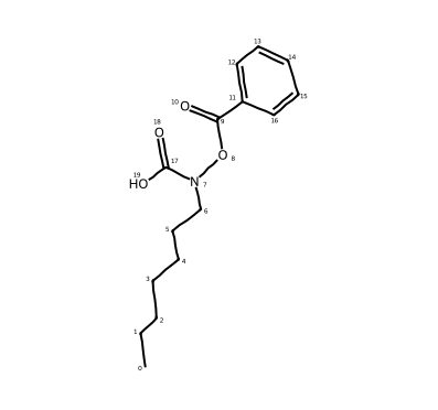 CCCCCCCN(OC(=O)c1ccccc1)C(=O)O